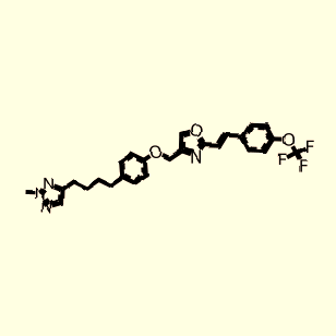 Cn1ncc(CCCCc2ccc(OCc3coc(/C=C/c4ccc(OC(F)(F)F)cc4)n3)cc2)n1